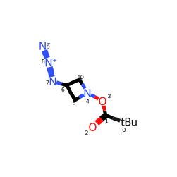 CC(C)(C)C(=O)ON1CC(N=[N+]=[N-])C1